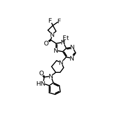 CCn1c(C(=O)N2CC(F)(F)C2)nc2c(N3CCC(n4c(=O)[nH]c5ccccc54)CC3)ncnc21